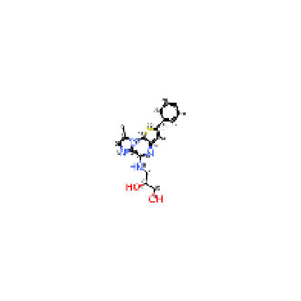 Cc1cnc2c(NCC(O)CO)nc3cc(-c4ccccc4)sc3n12